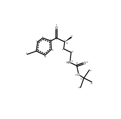 Cc1ccc(C(=O)[C@@H](C)CCNC(=O)OC(C)(C)C)cc1